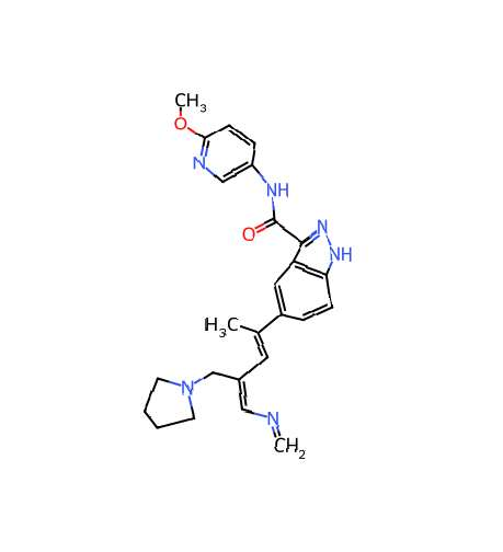 C=N/C=C(\C=C(/C)c1ccc2[nH]nc(C(=O)Nc3ccc(OC)nc3)c2c1)CN1CCCC1